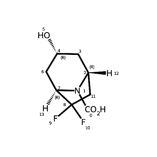 O=C(O)N1[C@@H]2C[C@@H](O)C[C@@H]1C(F)(F)C2